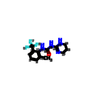 Cc1cccc(C(F)(F)F)c1NC(=O)NC1=NCCCN1